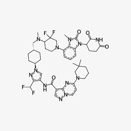 CN(C[C@H]1CC[C@H](n2cc(NC(=O)c3cnn4ccc(N5CCCC(C)(C)C5)nc34)c(C(F)F)n2)CC1)C1CCN(c2cccc3c2n(C)c(=O)n3C2CCC(=O)NC2=O)CC1(F)F